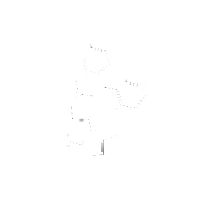 Cc1ccc(CN(CCc2ccccc2)Sc2ccc3oc(C(=O)O)c(C)c3c2)cc1